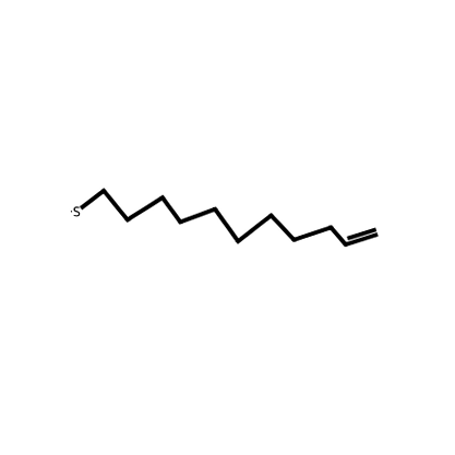 C=CCCCCCCCCC[S]